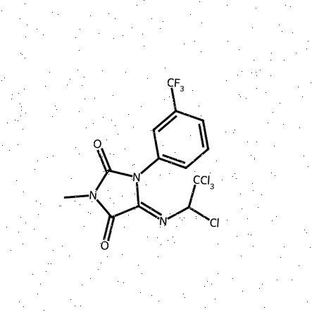 CN1C(=O)/C(=N/C(Cl)C(Cl)(Cl)Cl)N(c2cccc(C(F)(F)F)c2)C1=O